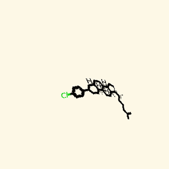 CC(C)CCC[C@@H](C)[C@H]1CC[C@H]2[C@@H]3CC[C@H]4CC(c5ccc(Cl)cc5)CC[C@]4(C)[C@H]3CC[C@]12C